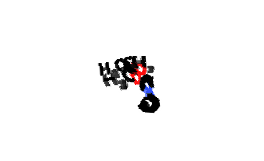 CC(C)(C)C(=O)OC1C=CCN(C2CCCCCC2)C1